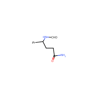 CC(C)C(CCC(N)=O)NC=O